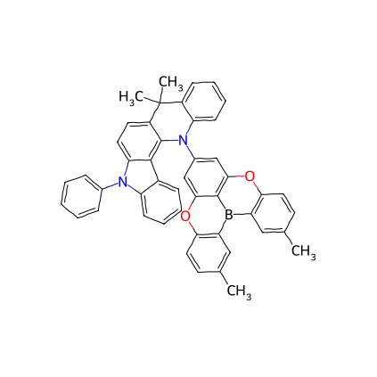 Cc1ccc2c(c1)B1c3cc(C)ccc3Oc3cc(N4c5ccccc5C(C)(C)c5ccc6c(c54)c4ccccc4n6-c4ccccc4)cc(c31)O2